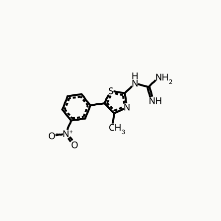 Cc1nc(NC(=N)N)sc1-c1cccc([N+](=O)[O-])c1